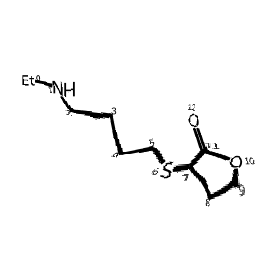 CCNCCCCSC1CCOC1=O